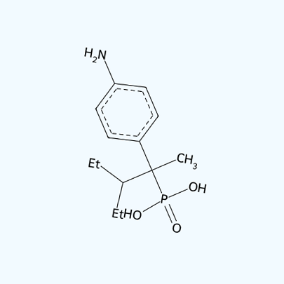 CCC(CC)C(C)(c1ccc(N)cc1)P(=O)(O)O